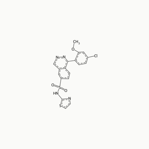 COc1cc(Cl)ccc1-c1nncc2cc(S(=O)(=O)Nc3nccs3)ccc12